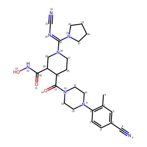 Cc1cc(C#N)ccc1N1CCN(C(=O)C2CCN(C(=NC#N)N3CCCC3)CC2C(=O)NO)CC1